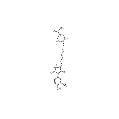 C[C@@H]1CN(C(=O)C(C)(C)C)C[C@H](C)N1CCCCCCCN1C(=S)N(c2ccc(C#N)c(C(F)(F)F)c2)C(=O)C1(C)C